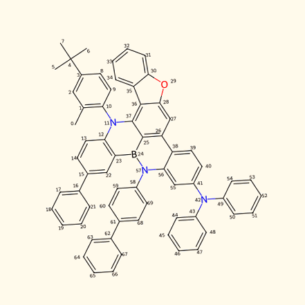 Cc1cc(C(C)(C)C)ccc1N1c2ccc(-c3ccccc3)cc2B2c3c(cc4oc5ccccc5c4c31)-c1ccc(N(c3ccccc3)c3ccccc3)cc1N2c1ccc(-c2ccccc2)cc1